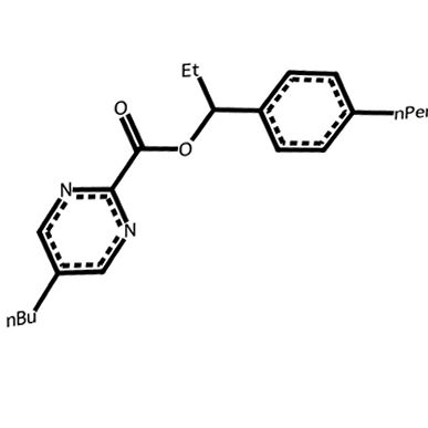 CCCCCc1ccc(C(CC)OC(=O)c2ncc(CCCC)cn2)cc1